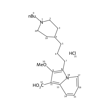 CCCCN1CCC(CCCc2c(OC)c(C(=O)O)c3ccccn23)CC1.Cl